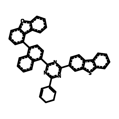 C1=CC(c2nc(-c3ccc4c(c3)sc3ccccc34)nc(-c3ccc(-c4cccc5oc6ccccc6c45)c4ccccc34)n2)=CCC1